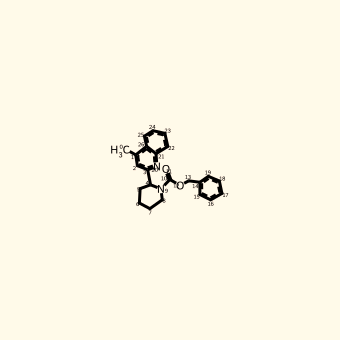 Cc1cc(C2CCCCN2C(=O)OCc2ccccc2)nc2ccccc12